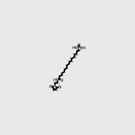 O=C(CCCCCCCCCCCCCC/C=C/P(=O)(O)O)NCCN1C(=O)C=CC1=O